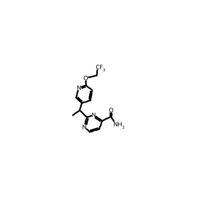 CC(c1ccc(OCC(F)(F)F)nc1)c1nccc(C(N)=O)n1